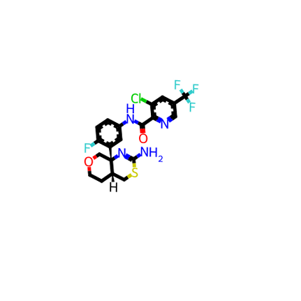 NC1=N[C@@]2(c3cc(NC(=O)c4ncc(C(F)(F)F)cc4Cl)ccc3F)COCC[C@H]2CS1